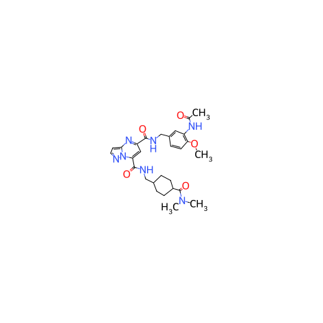 COc1ccc(CNC(=O)c2cc(C(=O)NCC3CCC(C(=O)N(C)C)CC3)n3nccc3n2)cc1NC(C)=O